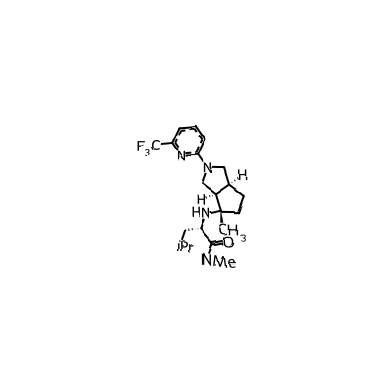 CNC(=O)[C@H](CC(C)C)N[C@@]1(C)CC[C@@H]2CN(c3cccc(C(F)(F)F)n3)C[C@@H]21